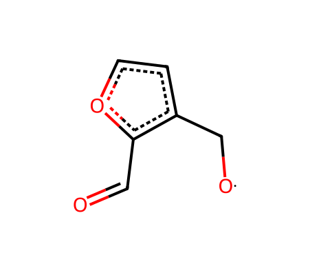 [O]Cc1ccoc1C=O